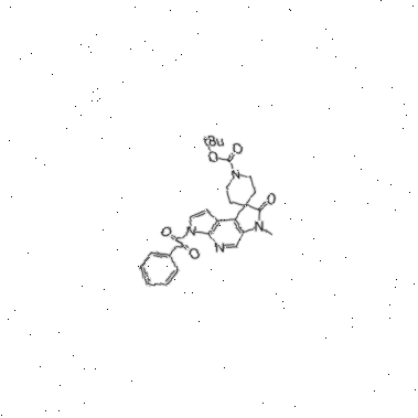 CN1C(=O)C2(CCN(C(=O)OC(C)(C)C)CC2)c2c1cnc1c2ccn1S(=O)(=O)c1ccccc1